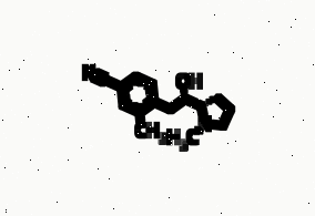 Cc1cc(C#N)ccc1C[C@@H](O)[C@@H]1CCCN1C